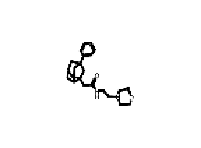 O=C(CC12CC3CC1CC(c1ccccc1)(C3)C2)NCCN1CCOCC1